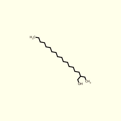 CCCCCCCCCCCCCCCCC(CC)CO